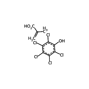 C=C(C)C(=O)O.Oc1c(Cl)c(Cl)c(Cl)c(Cl)c1Cl